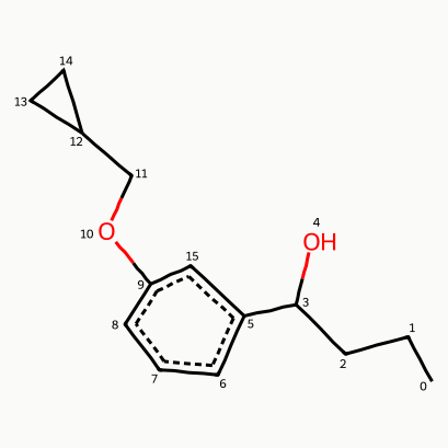 CCCC(O)c1cccc(OCC2CC2)c1